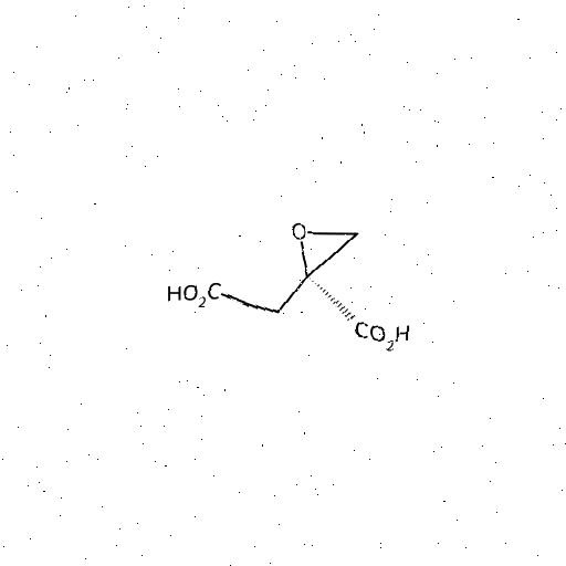 O=C(O)C[C@]1(C(=O)O)CO1